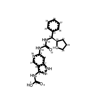 O=C(O)Nc1n[nH]c2cc(NC(=O)NC(c3ccccc3)[C@H]3CCCO3)ncc12